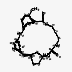 Cc1ccc2nc1C(=O)NCCCNC(=O)O[C@@H]1CC[C@@H](C1)c1cc(n[nH]1)N2